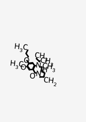 C=C1C[C@H]2C(C)N(C(C)CC)c3cc(OCCCC)c(OC)cc3C(=O)N2C1